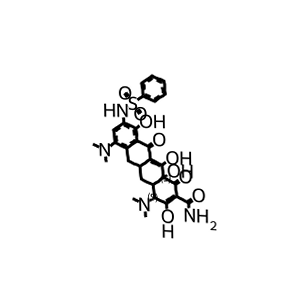 CN(C)c1cc(NS(=O)(=O)c2ccccc2)c(O)c2c1CC1CC3[C@H](N(C)C)C(O)=C(C(N)=O)C(=O)[C@@]3(O)C(O)=C1C2=O